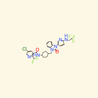 O=C(NC1CCC(Cn2c(=O)n(-c3ccc(NCC(F)(F)F)nc3)c3ccccc32)CC1)c1cc(Cl)cnc1C(F)F